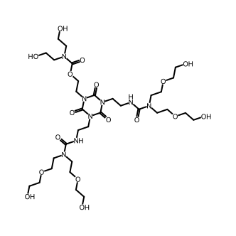 O=C(NCCn1c(=O)n(CCNC(=O)N(CCOCCO)CCOCCO)c(=O)n(CCOC(=O)N(CCO)CCO)c1=O)N(CCOCCO)CCOCCO